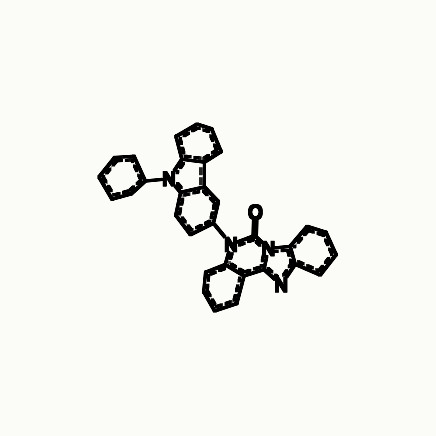 O=c1n(-c2ccc3c(c2)c2ccccc2n3-c2ccccc2)c2ccccc2c2nc3ccccc3n12